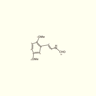 COc1ccc(OC)c(C=CNC=O)c1